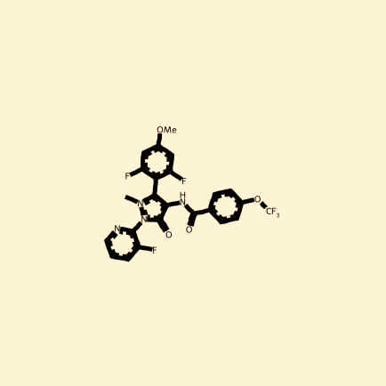 COc1cc(F)c(-c2c(NC(=O)c3ccc(OC(F)(F)F)cc3)c(=O)n(-c3ncccc3F)n2C)c(F)c1